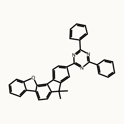 CC1(C)c2cc(-c3nc(-c4ccccc4)nc(-c4ccccc4)n3)ccc2-c2c1ccc1c2oc2ccccc21